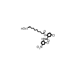 CCCCCCCC/C=C\CCCCCCCC(=O)Oc1ccc(Cl)cc1C(=O)Nc1ccc([N+](=O)[O-])cc1Cl